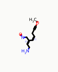 COC#CC/C=C\C(=C/CN)CN=O